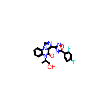 CC(CO)n1c(=O)c2c(-c3noc(-c4ccc(F)cc4F)n3)ncn2c2ccccc21